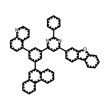 c1ccc(-c2nc(-c3cc(-c4cccc5ncccc45)cc(-c4cc5ccccc5c5ccccc45)c3)cc(-c3ccc4c(c3)oc3ccccc34)n2)cc1